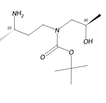 C[C@H](N)CCN(C[C@@H](C)O)C(=O)OC(C)(C)C